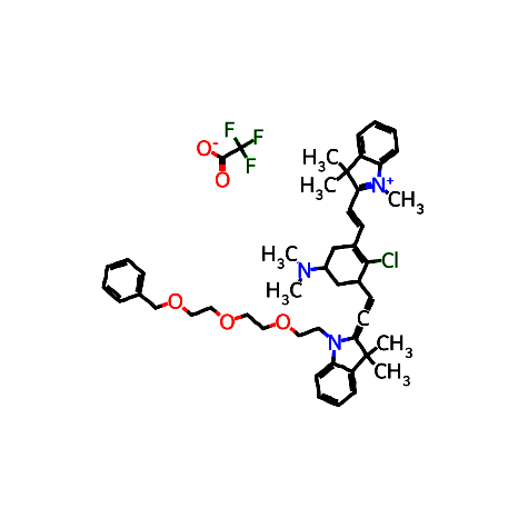 CN(C)C1CC(/C=C/C2=[N+](C)c3ccccc3C2(C)C)=C(Cl)C(C=C=C2N(CCOCCOCCOCc3ccccc3)c3ccccc3C2(C)C)C1.O=C([O-])C(F)(F)F